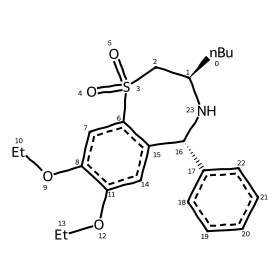 CCCC[C@@H]1CS(=O)(=O)c2cc(OCC)c(OCC)cc2[C@@H](c2ccccc2)N1